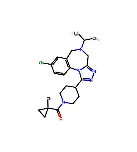 CC(N1Cc2cc(Cl)ccc2-n2c(nnc2C2CCN(C(=O)C3(C#N)CC3)CC2)C1)C(F)(F)F